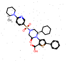 C[C@@H]1CCCCN1c1ccc(S(=O)(=O)N2CC(=O)N(c3cc(-c4ccccc4)sc3C(=O)O)[C@H](C3CCCCC3)C2)cn1